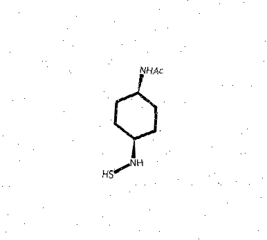 CC(=O)N[C@H]1CC[C@@H](NS)CC1